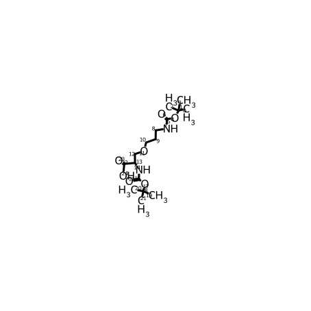 CC(C)(C)OC(=O)NCCCOCC(NC(=O)OC(C)(C)C)C(=O)O